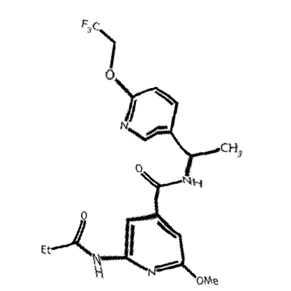 CCC(=O)Nc1cc(C(=O)NC(C)c2ccc(OCC(F)(F)F)nc2)cc(OC)n1